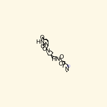 C=N/C=C\c1cc(C(=O)NCC2CC23CCN(C(=O)Cn2ccc(=O)[nH]c2=O)CC3)oc1C